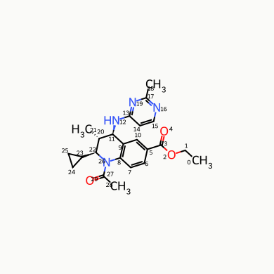 CCOC(=O)c1ccc2c(c1)[C@H](Nc1ccnc(C)n1)[C@@H](C)[C@H](C1CC1)N2C(C)=O